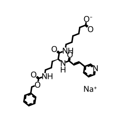 O=C([O-])CCCCCNC(=O)[C@H](CCCNC(=O)OCc1ccccc1)NC(=O)C=Cc1cccnc1.[Na+]